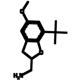 COc1cc2c(c(C(C)(C)C)c1)OC(CN)C2